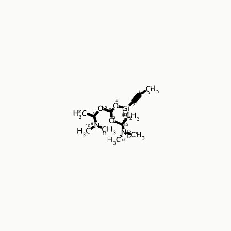 CC#C[SiH2]OC(OC(C)N(C)C)OC(C)N(C)C